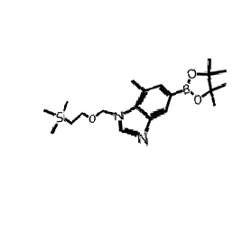 Cc1cc(B2OC(C)(C)C(C)(C)O2)cc2ncn(COCC[Si](C)(C)C)c12